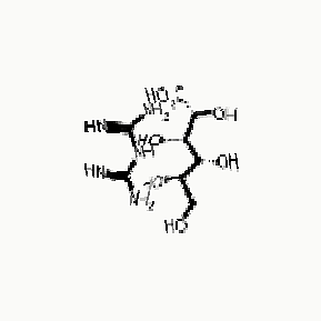 N=C(N)NC(=N)N.O=C(O)[C@H](O)[C@@H](O)[C@H](O)[C@H](O)CO